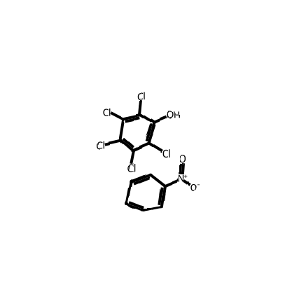 O=[N+]([O-])c1ccccc1.Oc1c(Cl)c(Cl)c(Cl)c(Cl)c1Cl